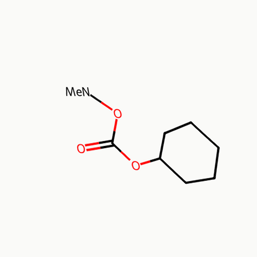 CNOC(=O)OC1CCCCC1